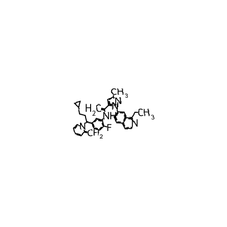 C=C(Nc1cc(C(CCC2CC2)N2C=CC=CC2=C)ccc1F)c1cc(C)nn1-c1ccc2ccnc(CC)c2c1